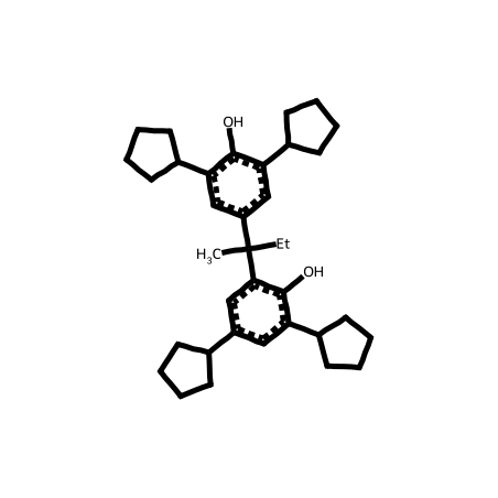 CCC(C)(c1cc(C2CCCC2)c(O)c(C2CCCC2)c1)c1cc(C2CCCC2)cc(C2CCCC2)c1O